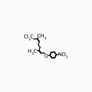 CC(=CCOc1ccc([N+](=O)[O-])cc1)CCC=C(C)CC(Cl)(Cl)Cl